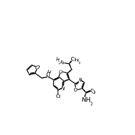 CC(N)Cc1oc2c(NCc3ccco3)cc(Cl)nc2c1-c1ncc(C(N)=O)o1